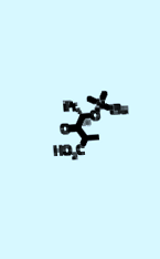 CC(C(=O)O)C(=O)[C@@H](O[Si](C)(C)C(C)(C)C)C(C)C